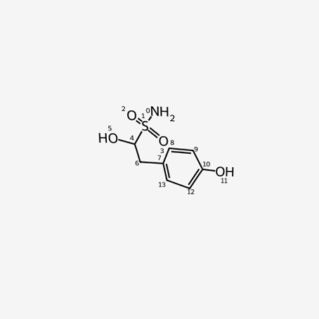 NS(=O)(=O)C(O)Cc1ccc(O)cc1